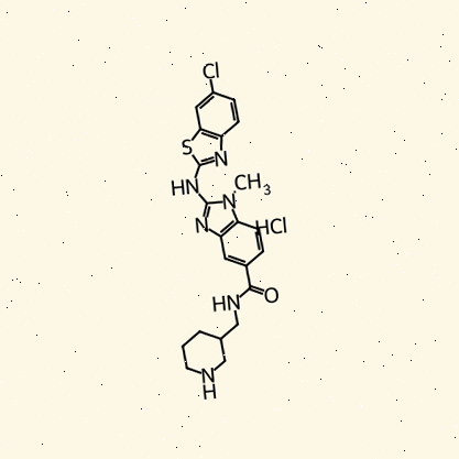 Cl.Cn1c(Nc2nc3ccc(Cl)cc3s2)nc2cc(C(=O)NCC3CCCNC3)ccc21